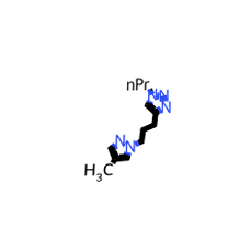 CCCn1cc(CCCn2cc(C)cn2)nn1